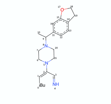 CCC(C)/C=C(\C=N)N1CCN(C(C)c2ccc3c(c2)OCC3)CC1